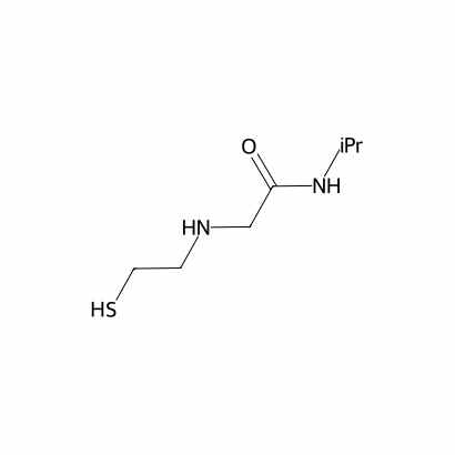 CC(C)NC(=O)CNCCS